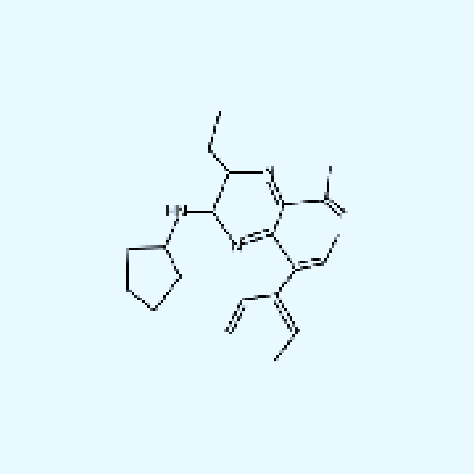 C=CC(=C\C)/C(=C/C)C1=NC(NC2CCCC2)C(CC)N=C1C(=C)C